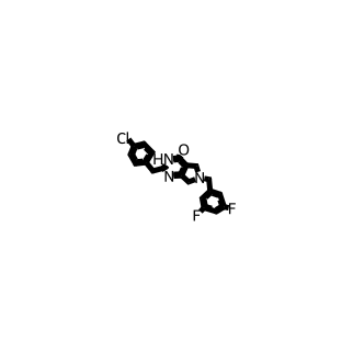 O=c1[nH]c(Cc2ccc(Cl)cc2)nc2c1CN(Cc1cc(F)cc(F)c1)C2